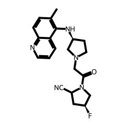 Cc1ccc2ncccc2c1N[C@H]1CCN(CC(=O)N2C[C@@H](F)CC2C#N)C1